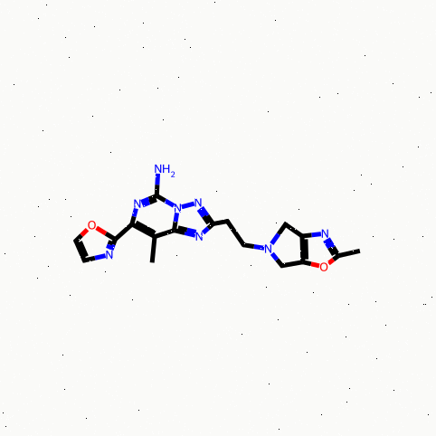 Cc1nc2c(o1)CN(CCc1nc3c(C)c(-c4ncco4)nc(N)n3n1)C2